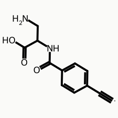 [C]#Cc1ccc(C(=O)NC(CN)C(=O)O)cc1